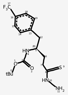 CC(C)(C)OC(=O)N[C@H](CCC(=S)NN)Cc1ccc(C(F)(F)F)cc1